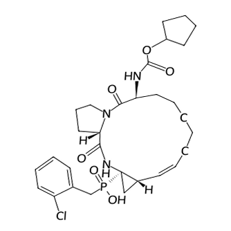 O=C(N[C@H]1CCCCC/C=C\[C@@H]2C[C@@]2(P(=O)(O)Cc2ccccc2Cl)NC(=O)[C@@H]2CCCN2C1=O)OC1CCCC1